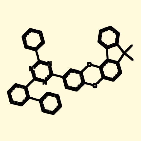 CC1(C)c2ccccc2-c2c1ccc1c2Oc2cc(-c3nc(-c4ccccc4)nc(-c4ccccc4-c4ccccc4)n3)ccc2O1